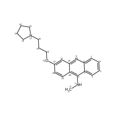 CNc1c2ccccc2nc2cc(OCCCN3CCCC3)ccc12